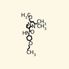 CCCCOC1CCC(NC(=O)c2ccn3c(COC)cc(C(C)C)nc23)CC1